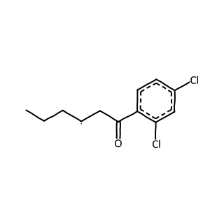 CCC[CH]CC(=O)c1ccc(Cl)cc1Cl